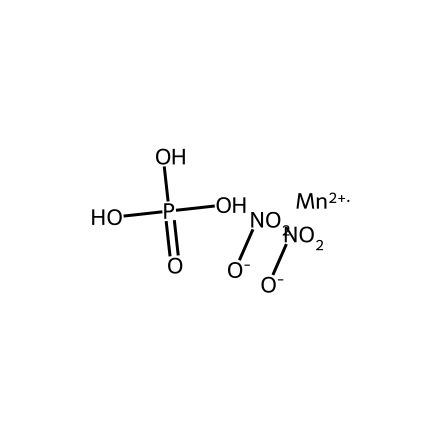 O=P(O)(O)O.O=[N+]([O-])[O-].O=[N+]([O-])[O-].[Mn+2]